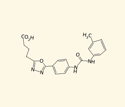 Cc1cccc(NC(=O)Nc2ccc(-c3nnc(CCCC(=O)O)o3)cc2)c1